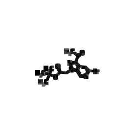 CC(=O)c1nn(CC(=O)OC(C)(C)C)c2cnc(Br)cc12